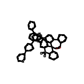 O=S1(=O)c2ccccc2C2(c3ccccc3-c3ccccc3-c3ccc(-c4nc(-c5ccccc5)cc(-c5ccc(-c6cccnc6)cc5)n4)cc32)c2cc3oc4ccccc4c3cc21